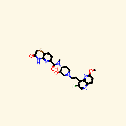 COc1ccc2ncc(F)c(CCN3CC[C@@H](N(C)C(=O)c4ccc5c(n4)NC(=O)CS5)C(O)C3)c2n1